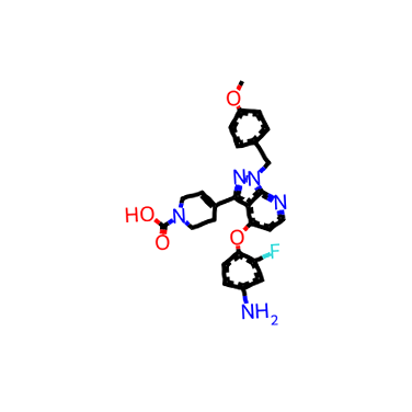 COc1ccc(Cn2nc(C3=CCN(C(=O)O)CC3)c3c(Oc4ccc(N)cc4F)ccnc32)cc1